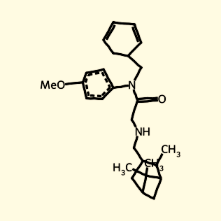 COc1ccc(N(CC2C=CC=CC2)C(=O)CNCC2CC3CC(C2C)C3(C)C)cc1